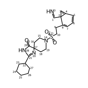 N=CC12C=C1C=CC=C2CCS(=O)(=O)N1CCC2(CC1)N=C(C1CCCCC1)NC2=O